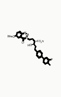 COc1ccc2nnn(CC[C@H](C(=O)O)[C@H](O)CCc3ccc(-c4ccc(C)c(F)c4)cc3)c(=O)c2c1